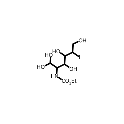 CCOC(=O)NC(C(O)O)C(O)C(O)C(I)CO